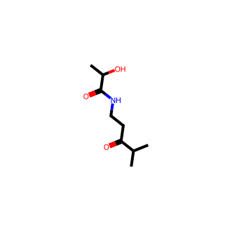 CC(C)C(=O)CCNC(=O)C(C)O